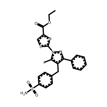 CCOC(=O)c1csc(-n2nc(-c3ccccc3)c(Cc3ccc(S(N)(=O)=O)cc3)c2I)n1